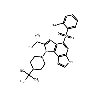 Cc1ccccc1S(=O)(=O)c1nc2[nH]ccc2c2c1nc([C@@H](C)O)n2N1CCC(C(C)(C)C#N)CC1